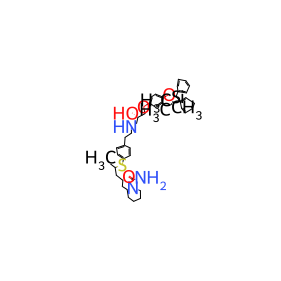 CCC(CCCC1CCCCN1C(N)=O)Sc1ccc(CCNC[C@H](O)COc2ccc(O[Si](c3ccccc3)(c3ccccc3)C(C)(C)C)cc2)cc1